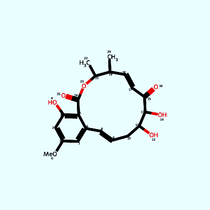 COc1cc(O)c2c(c1)/C=C/CC(O)C(O)C(=O)/C=C/C(C)C(C)OC2=O